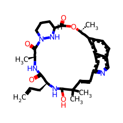 C=CC[C@@H]1NC(O)C(C)(C)/C=C/c2cc3cc(ccc3cn2)[C@@H](C)OC(=O)[C@@H]2CCCN(N2)C(=O)[C@H](C)NC1=O